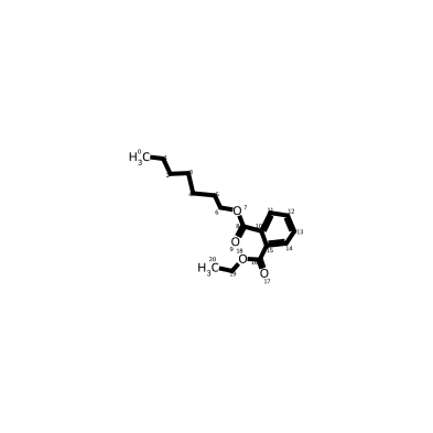 CCCCCCCOC(=O)c1ccccc1C(=O)OCC